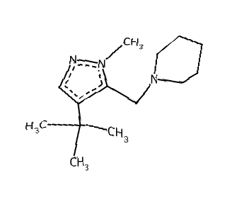 Cn1ncc(C(C)(C)C)c1CN1CCCCC1